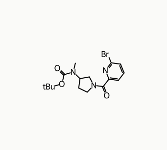 CN(C(=O)OC(C)(C)C)C1CCN(C(=O)c2cccc(Br)n2)C1